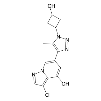 Cc1c(-c2cc(O)c3c(Cl)cnn3c2)nnn1C1CC(O)C1